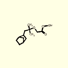 CC(C)(C)OC(=O)COC(C)(C)CC1CC2CCC1C2